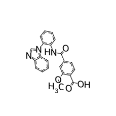 COc1cc(C(=O)Nc2ccccc2-n2cnc3ccccc32)ccc1C(=O)O